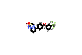 O=S1(=O)CCN2C(c3ccc(Oc4cccc(C(F)(F)F)c4)cc3)=CC=CC2=N1